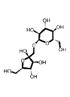 OC[C@@H]1O[C@@H](OC[C@@]2(O)O[C@H](CO)[C@@H](O)[C@@H]2O)[C@@H](O)[C@H](O)[C@H]1O